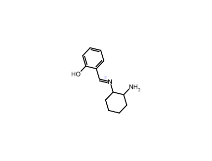 NC1CCCCC1/N=C/c1ccccc1O